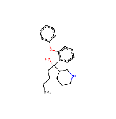 COCCC[C@@](O)(c1ccccc1Oc1ccccc1)[C@@H]1CCCNC1